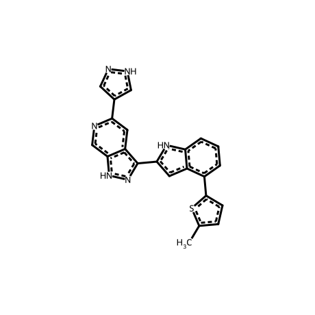 Cc1ccc(-c2cccc3[nH]c(-c4n[nH]c5cnc(-c6cn[nH]c6)cc45)cc23)s1